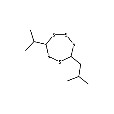 CC(C)CC1SSSC(C(C)C)SS1